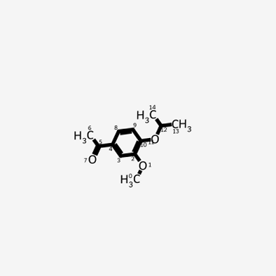 COc1cc(C(C)=O)ccc1OC(C)C